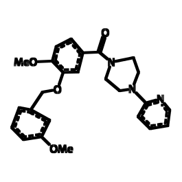 COc1cccc(COc2cc(C(=O)N3CCN(c4ccccn4)CC3)ccc2OC)c1